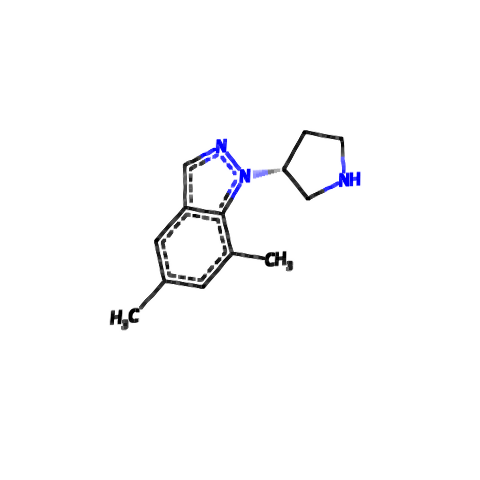 Cc1cc(C)c2c(cnn2[C@@H]2CCNC2)c1